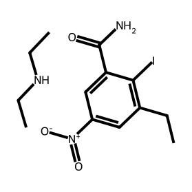 CCNCC.CCc1cc([N+](=O)[O-])cc(C(N)=O)c1I